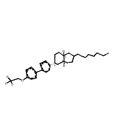 CCCCCCCC1CC[C@@H]2C[C@H](c3ccc(-c4ccc(OCC(F)(F)F)cc4)cc3)CC[C@@H]2C1